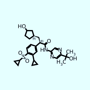 CC(C)(O)c1cnc(NC(=O)[C@H](C[C@H]2CCC(O)C2)c2ccc(S(=O)(=O)C3CC3)c(C3CC3)c2)cn1